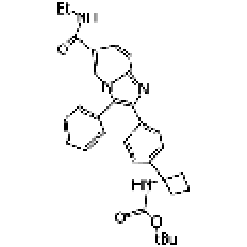 CCNC(=O)c1ccc2nc(-c3ccc(C4(NC(=O)OC(C)(C)C)CCC4)cc3)c(-c3ccccc3)n2c1